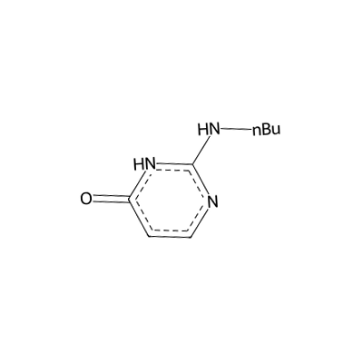 CCCCNc1nccc(=O)[nH]1